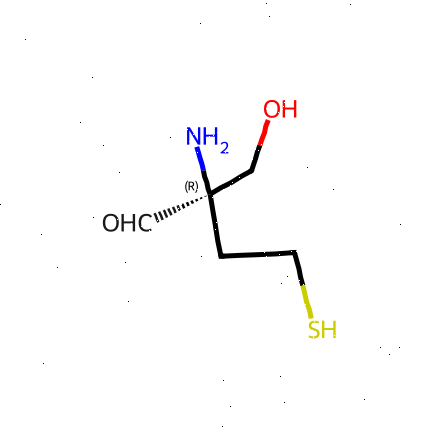 N[C@@](C=O)(CO)CCS